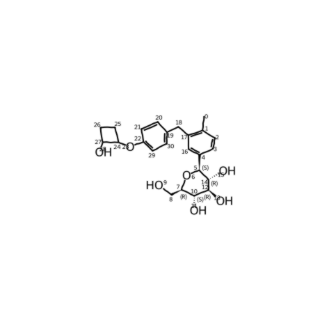 Cc1ccc([C@@H]2O[C@H](CO)[C@@H](O)[C@H](O)[C@H]2O)cc1Cc1ccc(OC2CCC2O)cc1